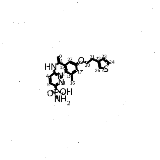 C=C(Nc1ccc(P(N)(=O)O)nn1)c1cc(C)cc(OCCc2ccsc2)c1